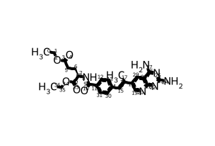 CCOC(=O)CC[C@@H](NC(=O)c1ccc(C=C(C)c2cnc3nc(N)nc(N)c3c2)cc1)C(=O)OCC